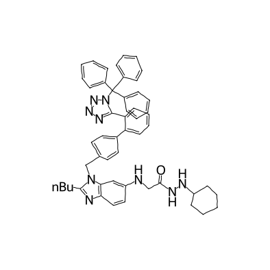 CCCCc1nc2ccc(NCC(=O)NNC3CCCCC3)cc2n1Cc1ccc(-c2ccccc2-c2nnnn2C(c2ccccc2)(c2ccccc2)c2ccccc2)cc1